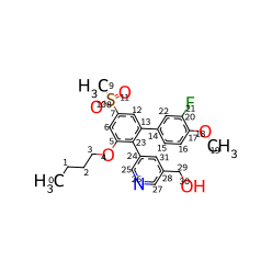 CCCCOc1cc(S(C)(=O)=O)cc(-c2ccc(OC)c(F)c2)c1-c1cncc(CO)c1